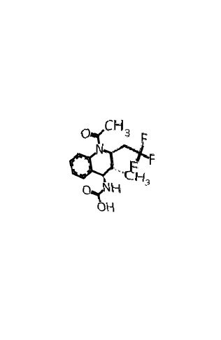 CC(=O)N1c2ccccc2[C@H](NC(=O)O)[C@@H](C)[C@@H]1CC(F)(F)F